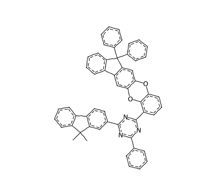 CC1(C)c2ccccc2-c2ccc(-c3nc(-c4ccccc4)nc(-c4cccc5c4Oc4cc6c(cc4O5)C(c4ccccc4)(c4ccccc4)c4ccccc4-6)n3)cc21